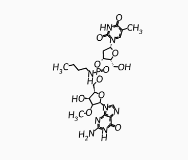 CCCCNP(=O)(OC[C@H]1O[C@@H](n2cnc3c(=O)[nH]c(N)nc32)C(OC)[C@H]1O)O[C@@H]1C[C@H](n2cc(C)c(=O)[nH]c2=O)O[C@@H]1CO